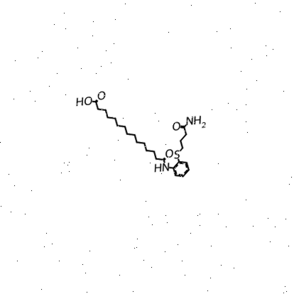 NC(=O)CCCSc1ccccc1NC(=O)CCCCCCCCCCCCCC(=O)O